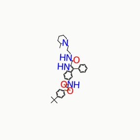 CC1CCCCN1CCCNC(=O)c1[nH]c2ccc(NS(=O)(=O)c3ccc(C(C)(C)C)cc3)cc2c1-c1ccccc1